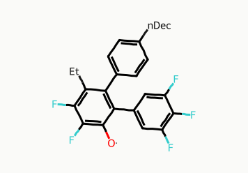 CCCCCCCCCCc1ccc(-c2c(CC)c(F)c(F)c([O])c2-c2cc(F)c(F)c(F)c2)cc1